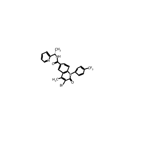 Cc1c(Br)c(=O)n(-c2ccc(C(F)(F)F)cc2)c2ccc(C(=O)N[C@@H](C)c3ccccn3)cc12